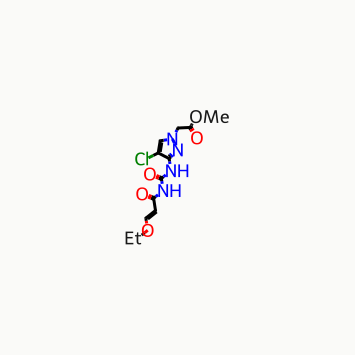 CCO/C=C/C(=O)NC(=O)Nc1nn(CC(=O)OC)cc1Cl